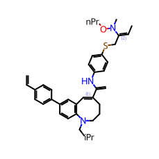 C=Cc1ccc(-c2ccc3c(c2)/C=C(/C(=C)Nc2ccc(SC/C(=C/C)N(C)OCCC)cc2)CCCN3CC(C)C)cc1